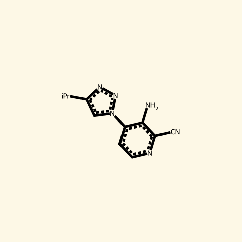 CC(C)c1cn(-c2ccnc(C#N)c2N)nn1